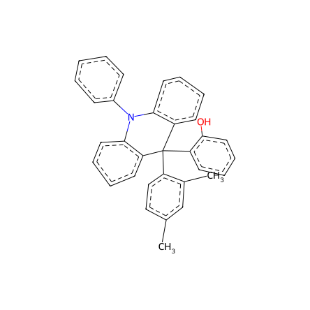 Cc1ccc(C2(c3ccccc3O)c3ccccc3N(c3ccccc3)c3ccccc32)c(C)c1